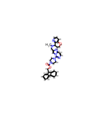 CN(Cc1cn2c(N3CCN(C(=O)OCC4c5ccccc5-c5ccccc54)CC3)nccc2n1)C1CCOc2cccnc21